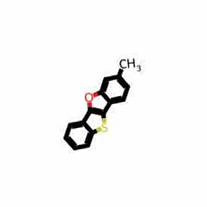 Cc1ccc2c(c1)oc1c3ccccc3sc21